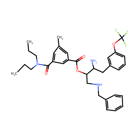 CCCN(CCC)C(=O)c1cc(C)cc(C(=O)OC(CNCc2ccccc2)C(N)Cc2cccc(OC(F)(F)F)c2)c1